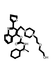 C[C@H](NC(=O)Oc1c(CN2CCN(CCOCCO)CC2)c(-c2cccs2)nc2ccccc12)C1CCCCC1